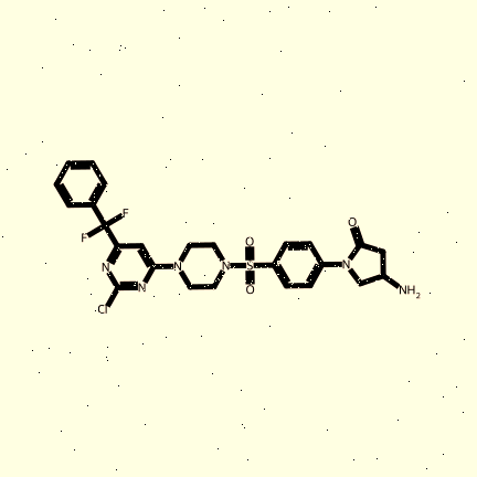 NC1CC(=O)N(c2ccc(S(=O)(=O)N3CCN(c4cc(C(F)(F)c5ccccc5)nc(Cl)n4)CC3)cc2)C1